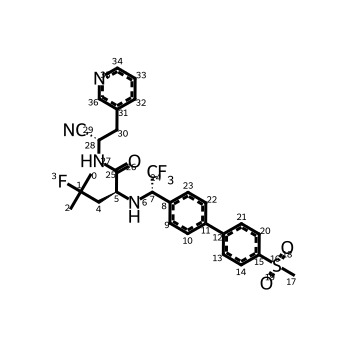 CC(C)(F)C[C@H](N[C@@H](c1ccc(-c2ccc(S(C)(=O)=O)cc2)cc1)C(F)(F)F)C(=O)N[C@H](C#N)Cc1cccnc1